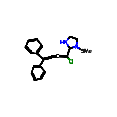 CSN1CCNC1C(Cl)=C=C=C(c1ccccc1)c1ccccc1